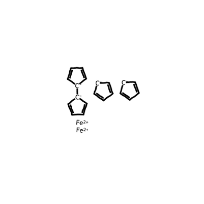 [Fe+2].[Fe+2].c1cc[c-](-[c-]2cccc2)c1.c1cc[cH-]c1.c1cc[cH-]c1